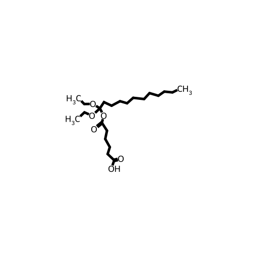 CCCCCCCCCCCC(OCC)(OCC)OC(=O)CCCCC(=O)O